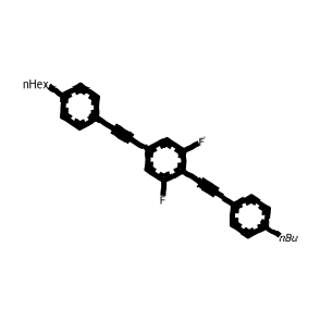 CCCCCCc1ccc(C#Cc2cc(F)c(C#Cc3ccc(CCCC)cc3)c(F)c2)cc1